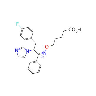 O=C(O)CCCCO/N=C(/c1ccccc1)C(Cc1ccc(F)cc1)n1ccnc1